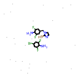 Nc1c(F)cc(Br)cc1F.Nc1c(F)cc(Cn2ccnc2S)cc1F